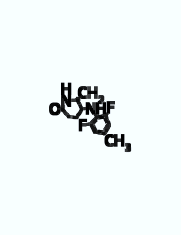 C=C1NC(=O)CCC1Nc1c(F)cc(C)cc1F